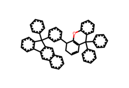 C1=CC2=C(Oc3ccccc3C2(c2ccccc2)c2ccccc2)C(c2cccc(C3(c4ccccc4)c4ccccc4-c4cc5ccccc5cc43)c2)C1